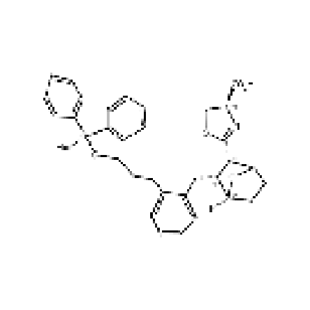 CC(C)(C)[Si](OCCCc1ccccc1C[C@H]1[C@@H]2CCC(O2)[C@H]1C1=N[C@H](C(=O)O)CO1)(c1ccccc1)c1ccccc1